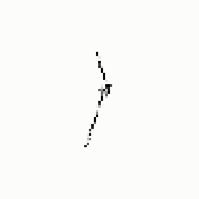 CCCCCCCCCCCCCCCCCCCn1cc[n+](C(C)CCCCCCCCCCCC)c1C(C)C